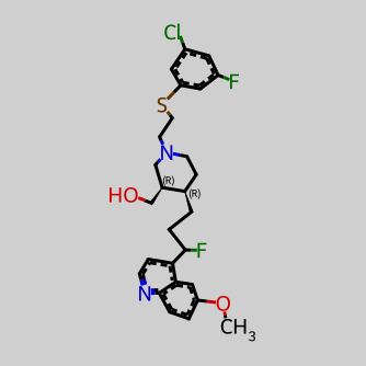 COc1ccc2nccc(C(F)CC[C@@H]3CCN(CCSc4cc(F)cc(Cl)c4)C[C@@H]3CO)c2c1